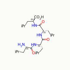 CC(C)C[C@H](NC(=O)[C@H](CC(C)C)NC(=O)[C@H](CC(C)C)NC(=O)[C@@H](N)CC(C)C)C(=O)O